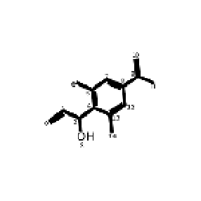 C=CC(O)c1c(C)cc(C(=C)C)cc1C